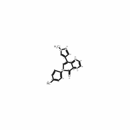 Cn1cc(-c2cn(-c3ccc(C#N)cc3)c(=O)c3nccnc23)cn1